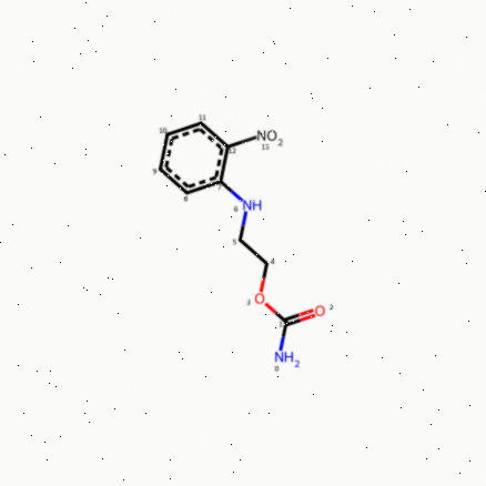 NC(=O)OCCNc1ccccc1[N+](=O)[O-]